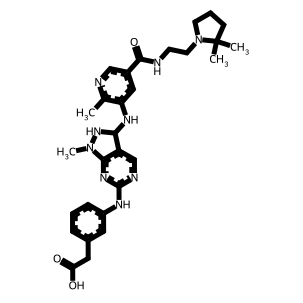 Cc1ncc(C(=O)NCCN2CCCC2(C)C)cc1NC1NN(C)c2nc(Nc3cccc(CC(=O)O)c3)ncc21